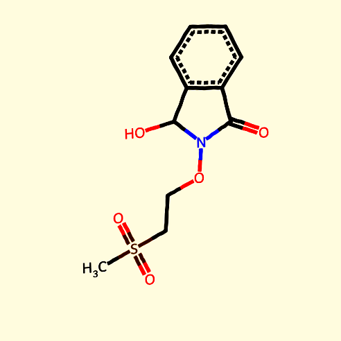 CS(=O)(=O)CCON1C(=O)c2ccccc2C1O